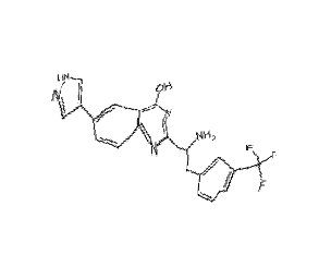 NC(Cc1cccc(C(F)(F)F)c1)c1nc(O)c2cc(-c3cn[nH]c3)ccc2n1